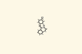 O/N=C\c1ccccc1/N=N/c1ccc(Cl)cc1